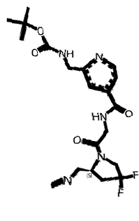 C=NC[C@@H]1CC(F)(F)CN1C(=O)CNC(=O)c1ccnc(CNC(=O)OC(C)(C)C)c1